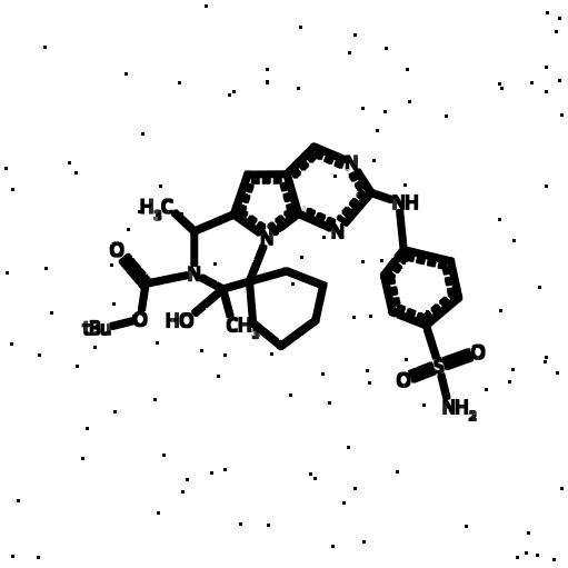 CC1c2cc3cnc(Nc4ccc(S(N)(=O)=O)cc4)nc3n2C2(CCCCC2)C(C)(O)N1C(=O)OC(C)(C)C